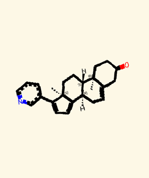 C[C@]12CC[C@H]3[C@@H](CC=C4CC(=O)CC[C@@]43C)C1=CC=C2c1cccnc1